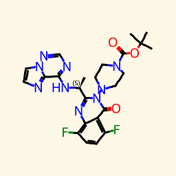 C[C@H](Nc1ncnn2ccnc12)c1nc2c(F)ccc(F)c2c(=O)n1N1CCN(C(=O)OC(C)(C)C)CC1